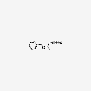 CCCCCCCC(C)OCc1ccccc1